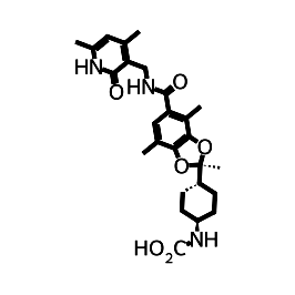 Cc1cc(C)c(CNC(=O)c2cc(C)c3c(c2C)O[C@@](C)([C@H]2CC[C@H](NC(=O)O)CC2)O3)c(=O)[nH]1